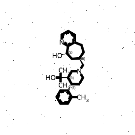 Cc1ccccc1[C@H]1CCN(C[C@@H]2CCc3cccnc3[C@@H](O)C2)C[C@@H]1C(C)(C)O